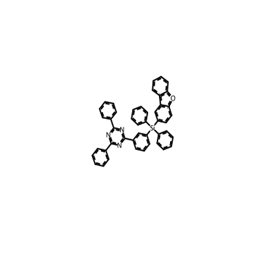 c1ccc(-c2nc(-c3ccccc3)nc(-c3cccc([Si](c4ccccc4)(c4ccccc4)c4ccc5oc6ccccc6c5c4)c3)n2)cc1